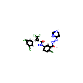 O=C(NNc1ccncn1)c1cc(NC(=O)[C@H]2[C@H](c3cc(Cl)cc(Cl)c3)C2(Cl)Cl)ccc1Cl